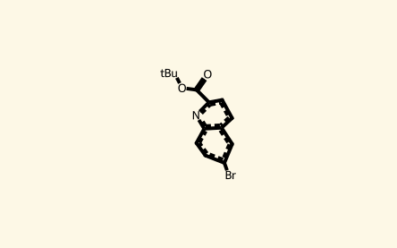 CC(C)(C)OC(=O)c1ccc2cc(Br)ccc2n1